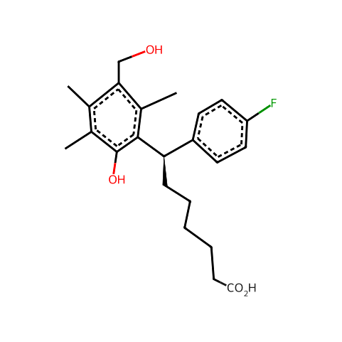 Cc1c(C)c(CO)c(C)c([C@H](CCCCCC(=O)O)c2ccc(F)cc2)c1O